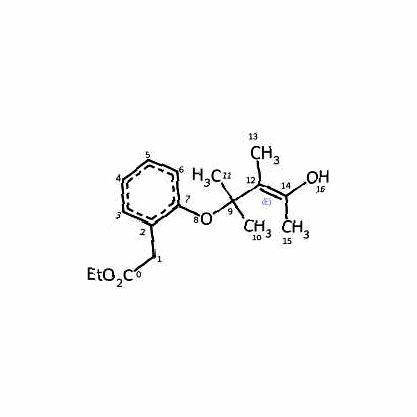 CCOC(=O)Cc1ccccc1OC(C)(C)/C(C)=C(\C)O